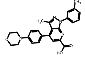 Cc1cccc(-n2nc(C)c3c(-c4ccc(N5CCOCC5)cc4)cc(C(=O)O)nc32)c1